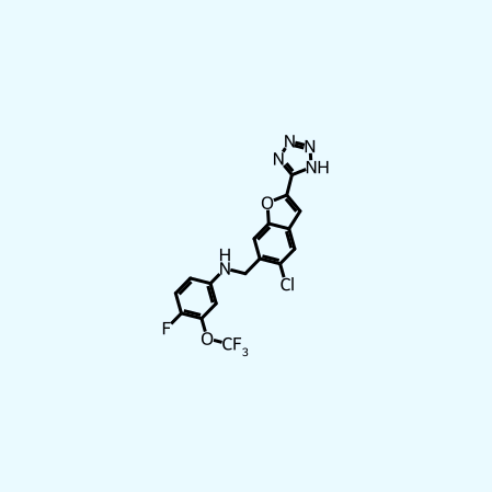 Fc1ccc(NCc2cc3oc(-c4nnn[nH]4)cc3cc2Cl)cc1OC(F)(F)F